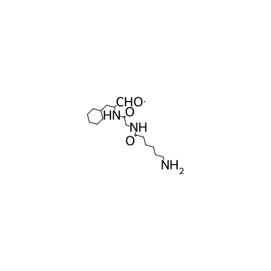 NCCCCCC(=O)NCC(=O)N[C@H]([C]=O)CC1CCCCC1